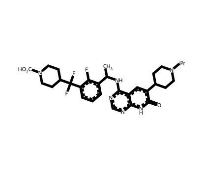 CC(Nc1ncnc2[nH]c(=O)c(C3CCN(C(C)C)CC3)cc12)c1cccc(C(F)(F)C2CCN(C(=O)O)CC2)c1F